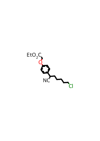 CCOC(=O)COc1ccc(C(C#N)CCCCCCl)cc1